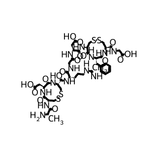 CC(=N)NCCC[C@H](NC(=O)[C@@H]1CSSC[C@H](NC(=O)[C@H](C)N)C(=O)N[C@@H](CC(=O)O)C(=O)N1)C(=O)NCC(=O)N[C@@H](CC(=O)O)C(=O)N[C@H]1CSSC[C@@H](C(=O)NCC(=O)O)NC(=O)[C@H](Cc2ccccc2)NC1=O